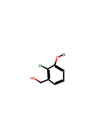 CCOc1cccc([CH]O)c1Cl